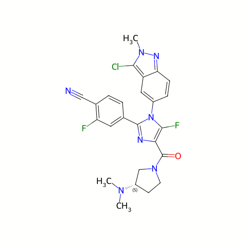 CN(C)[C@H]1CCN(C(=O)c2nc(-c3ccc(C#N)c(F)c3)n(-c3ccc4nn(C)c(Cl)c4c3)c2F)C1